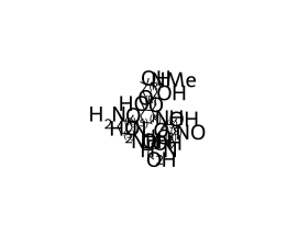 CN[C@@H]1C(O)[C@@H](OC2C(O)C(O[C@H]3O[C@H](CNCC(O)(CO)CO)CCC3N)[C@@H](N)C[C@H]2NC(=O)[C@@H](O)[C@@H](N=O)[C@@H](O)CN)OCC1(C)O